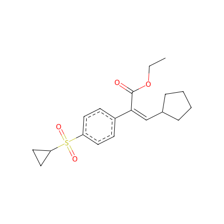 CCOC(=O)C(=CC1CCCC1)c1ccc(S(=O)(=O)C2CC2)cc1